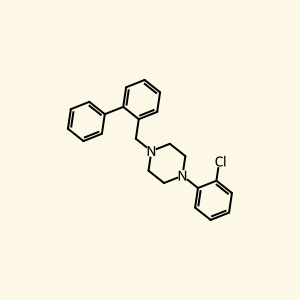 Clc1ccccc1N1CCN(Cc2ccccc2-c2ccccc2)CC1